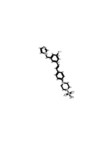 CC(C)S(=O)(=O)N1CCN(c2ccc(C=Cc3cc(F)cc(Cn4ccnc4)c3)cc2)CC1